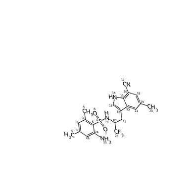 Cc1cc(C)c(S(=O)(=O)NC(Cc2c[nH]c3c(C#N)cc(C)cc23)C(F)(F)F)c(N)c1